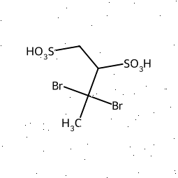 CC(Br)(Br)C(CS(=O)(=O)O)S(=O)(=O)O